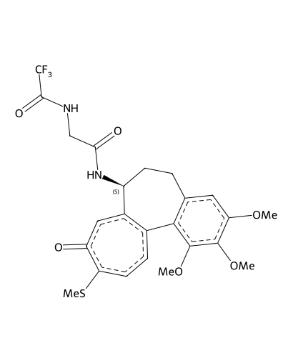 COc1cc2c(c(OC)c1OC)-c1ccc(SC)c(=O)cc1[C@@H](NC(=O)CNC(=O)C(F)(F)F)CC2